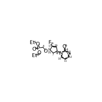 CCOP(=O)(CO[C@H]1C[C@H](n2cccnc2=O)C=C1F)OCC